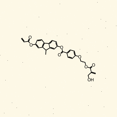 C=CC(=O)Oc1ccc2c(c1)C(C)c1cc(OC(=O)c3ccc(OCCOC(=O)C(=C)CO)cc3)ccc1-2